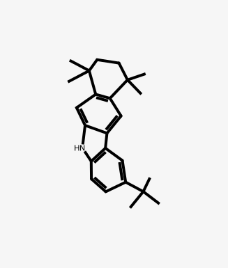 CC(C)(C)c1ccc2[nH]c3cc4c(cc3c2c1)C(C)(C)CCC4(C)C